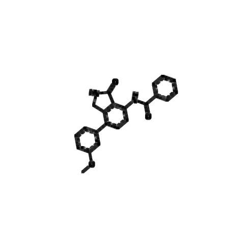 COc1cccc(-c2ccc(NC(=O)c3ccccc3)c3c2CNC3=O)c1